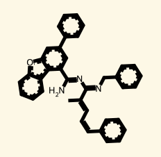 CC(=C\C=C/c1ccccc1)/C(=N/Cc1ccccc1)/N=C(\N)c1cc(-c2ccccc2)cc2oc3ccccc3c12